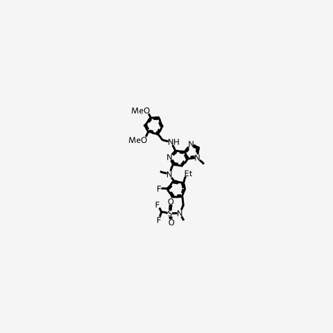 CCc1cc(CN(C)S(=O)(=O)C(F)F)cc(F)c1N(C)c1cc2c(ncn2C)c(NCc2ccc(OC)cc2OC)n1